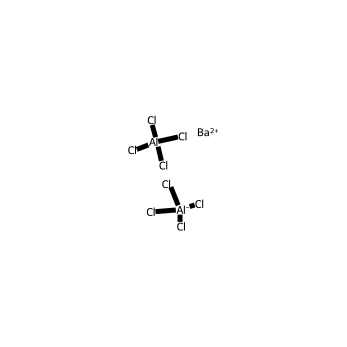 [Ba+2].[Cl][Al-]([Cl])([Cl])[Cl].[Cl][Al-]([Cl])([Cl])[Cl]